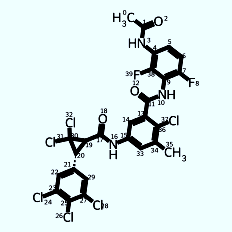 CC(=O)Nc1ccc(F)c(NC(=O)c2cc(NC(=O)C3[C@H](c4cc(Cl)c(Cl)c(Cl)c4)C3(Cl)Cl)cc(C)c2Cl)c1F